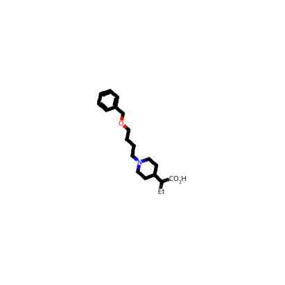 CCC(C(=O)O)C1CCN(CCCCOCc2ccccc2)CC1